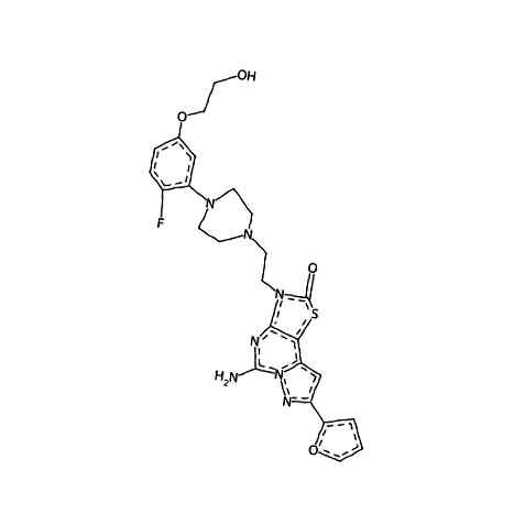 Nc1nc2c(sc(=O)n2CCN2CCN(c3cc(OCCO)ccc3F)CC2)c2cc(-c3ccco3)nn12